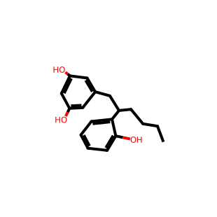 CCCCC(Cc1cc(O)cc(O)c1)c1ccccc1O